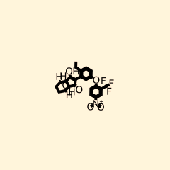 CCc1ccc(Oc2ccc([N+](=O)[O-])cc2C(F)(F)F)cc1C1=C(O)[C@H]2[C@@H](C1=O)[C@@H]1CC[C@H]2O1